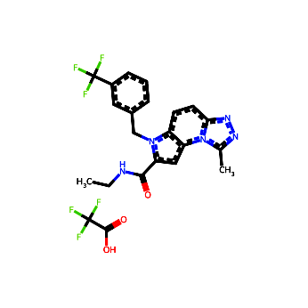 CCNC(=O)c1cc2c(ccc3nnc(C)n32)n1Cc1cccc(C(F)(F)F)c1.O=C(O)C(F)(F)F